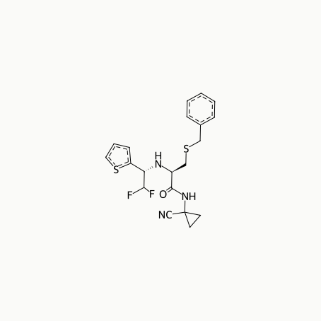 N#CC1(NC(=O)[C@H](CSCc2ccccc2)N[C@@H](c2cccs2)C(F)F)CC1